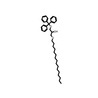 CCCCCCCCCCCCCCCCOCC(O)COC(c1ccccc1)(c1ccccc1)c1ccccc1